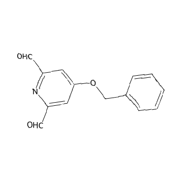 O=Cc1cc(OCc2ccccc2)cc(C=O)n1